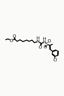 CCOC(=O)CCCCCCCNC(=O)NS(=O)(=O)/C(C)=C/c1cccc(Cl)c1